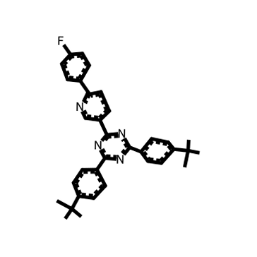 CC(C)(C)c1ccc(-c2nc(-c3ccc(C(C)(C)C)cc3)nc(-c3ccc(-c4ccc(F)cc4)nc3)n2)cc1